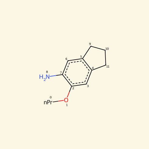 CCCOc1cc2c(cc1N)CCC2